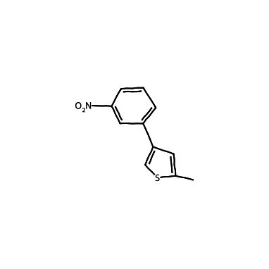 Cc1cc(-c2cccc([N+](=O)[O-])c2)cs1